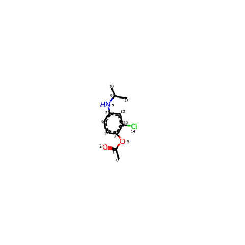 CC(=O)Oc1ccc(NC(C)C)cc1Cl